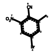 Cc1cc(Br)cc([N+](=O)[O-])c1C#N